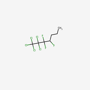 CCCC(F)C(F)(F)C(Cl)(Cl)C(Cl)(Cl)Cl